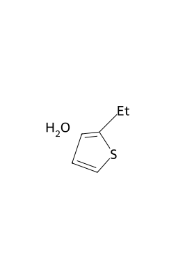 CCc1cccs1.O